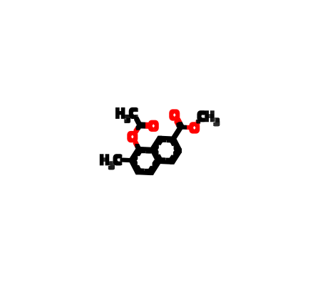 COC(=O)c1ccc2ccc(C)c(OC(C)=O)c2c1